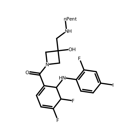 CCCCCNCC1(O)CN(C(=O)C2=CC=C(F)C(F)C2Nc2ccc(I)cc2F)C1